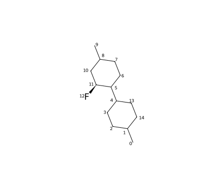 CC1CCC(C2CCC(C)C[C@@H]2F)CC1